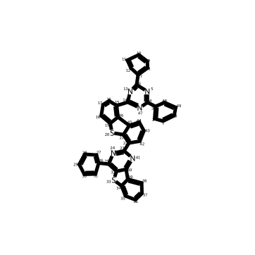 c1ccc(-c2nc(-c3ccccc3)nc(-c3cccc4sc5c(-c6nc(-c7ccccc7)c7sc8ccccc8c7n6)cccc5c34)n2)cc1